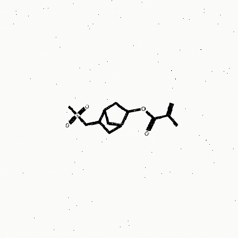 C=C(C)C(=O)OC1CC2CC1CC2CS(C)(=O)=O